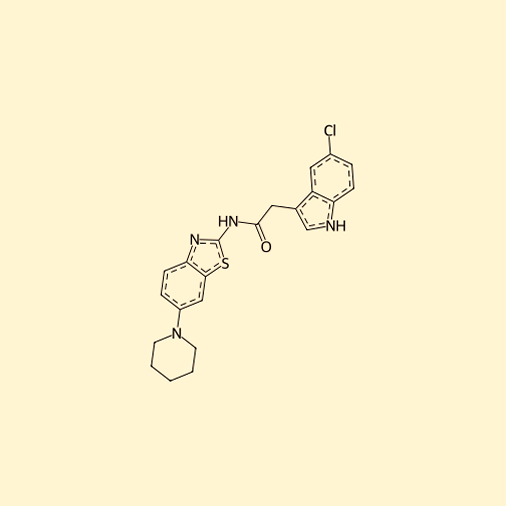 O=C(Cc1c[nH]c2ccc(Cl)cc12)Nc1nc2ccc(N3CCCCC3)cc2s1